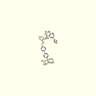 CCCN(CCC)C(C)(C)c1ccc(-c2ccc(COC3COC[C@@H]3NC(=O)c3cc(C4=CN=C4)cnc3N)cc2)cc1